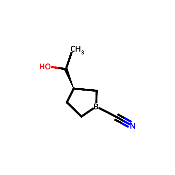 CC(O)[C@@H]1CCB(C#N)C1